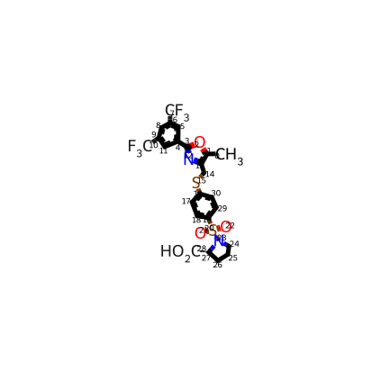 Cc1oc(-c2cc(C(F)(F)F)cc(C(F)(F)F)c2)nc1CSc1ccc(S(=O)(=O)N2CCC[C@@H]2C(=O)O)cc1